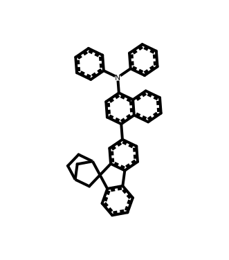 c1ccc(N(c2ccccc2)c2ccc(-c3ccc4c(c3)C3(CC5CCC3C5)c3ccccc3-4)c3ccccc23)cc1